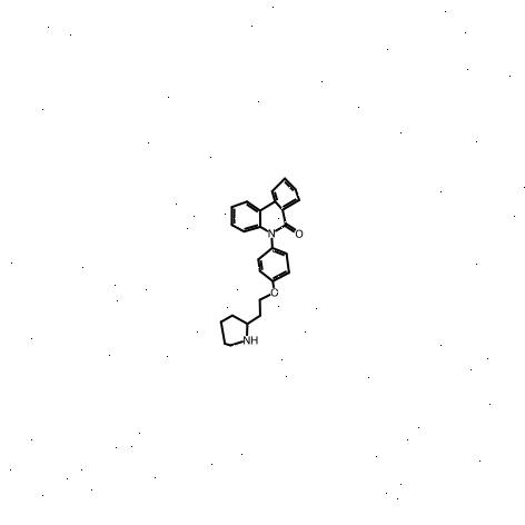 O=c1c2ccccc2c2ccccc2n1-c1ccc(OCCC2CCCCN2)cc1